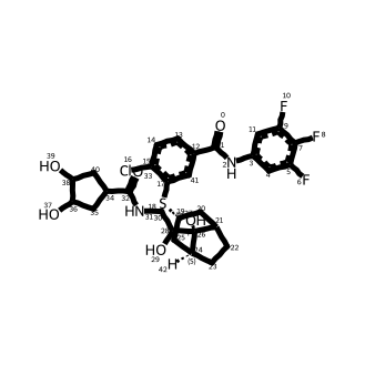 O=C(Nc1cc(F)c(F)c(F)c1)c1ccc(Cl)c(S[C@@H]2CC3CC[C@@H](C2)[C@@]3(O)C(O)CNC(=O)C2CC(O)C(O)C2)c1